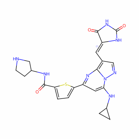 O=C1NC(=O)/C(=C/c2cnn3c(NC4CC4)cc(-c4ccc(C(=O)NC5CCNC5)s4)nc23)N1